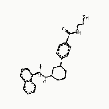 C[C@@H](NC1CCCC(c2ccc(C(=O)NCCS)cc2)C1)c1cccc2ccccc12